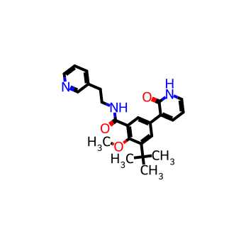 COc1c(C(=O)NCCc2cccnc2)cc(-c2ccc[nH]c2=O)cc1C(C)(C)C